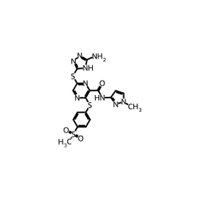 Cn1ccc(NC(=O)c2nc(Sc3nnc(N)[nH]3)cnc2Sc2ccc(S(C)(=O)=O)cc2)n1